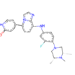 C[C@@H]1CN(c2ccc(Nc3ccc(-c4cc[nH]c(=O)c4)n4ccnc34)cc2F)C[C@H](C)N1C